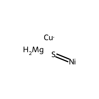 [Cu].[MgH2].[S]=[Ni]